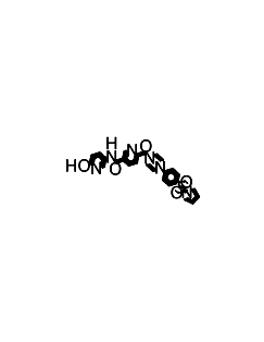 O=C(Nc1ccc(O)nc1)c1ccc(C(=O)N2CCN(c3ccc(S(=O)(=O)N4CCCC4)cc3)CC2)nc1